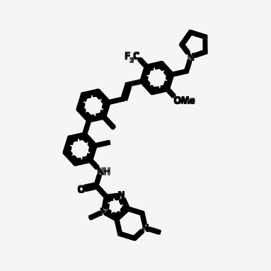 COc1cc(/C=C/c2cccc(-c3cccc(NC(=O)c4nc5c(n4C)CCN(C)C5)c3C)c2C)c(C(F)(F)F)cc1CN1CCCC1